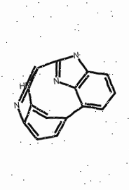 [c]1ccc2c3ccc4nc([nH]c4c3)c3nc2c1[N]3